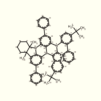 CC(C)(C)c1ccc(N2c3cc(-c4ccccc4)cc4c3B(c3cc(-c5ccccc5)cc5c3N4C3(C)CCCCC53C)c3c2sc2ccc(C(C)(C)C)cc32)c(-c2ccccc2)c1